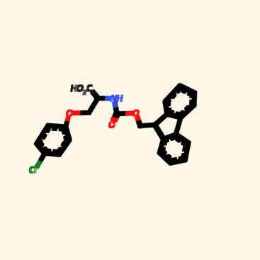 O=C(NC(COc1ccc(Cl)cc1)C(=O)O)OCC1c2ccccc2-c2ccccc21